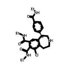 CCNC(=O)c1ccc([C@H]2CNCCc3c2cc(C(=O)NCC)c(C(=O)NCC)c3Cl)cc1